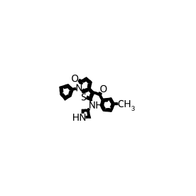 Cc1cccc(C(=O)c2c(NC3CNC3)sc3c2ccc(=O)n3-c2ccccc2)c1